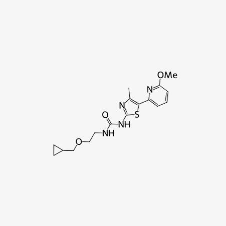 COc1cccc(-c2sc(NC(=O)NCCOCC3CC3)nc2C)n1